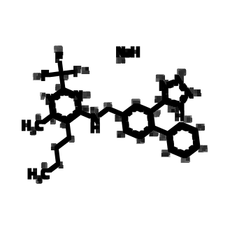 CCCCc1c(C)nc(C(F)(F)F)nc1NCc1ccc(-c2ccccc2)c(-c2nnn[nH]2)c1.[NaH]